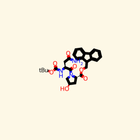 CC(C)(C)OC(=O)N[C@@H](CC(N)=O)C(=O)N1C[C@H](O)C[C@H]1C(=O)OCC1c2ccccc2-c2ccccc21